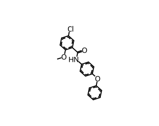 COc1ccc(Cl)cc1C(=O)Nc1ccc(Oc2ccccc2)cc1